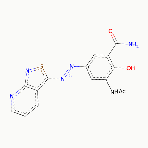 CC(=O)Nc1cc(/N=N/c2snc3ncccc23)cc(C(N)=O)c1O